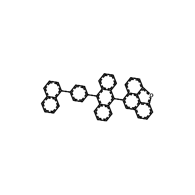 c1ccc2c(-c3ccc(-c4c5ccccc5c(-c5cc6cccc7oc8cccc5c8c67)c5ccccc45)cc3)cccc2c1